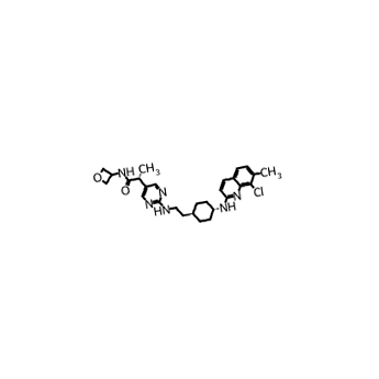 Cc1ccc2ccc(N[C@H]3CC[C@H](CCNc4ncc([C@@H](C)C(=O)NC5COC5)cn4)CC3)nc2c1Cl